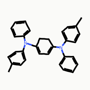 Cc1ccc(N(C2=CC=C(N(c3ccccc3)c3ccc(C)cc3)CC2)c2ccccc2)cc1